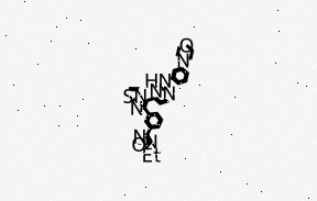 CCc1nc(-c2cccc(-c3nc4sccn4c3-c3ccnc(Nc4cccc(N5CCOCC5)c4)n3)c2)no1